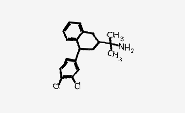 CC(C)(N)C1Cc2ccccc2C(c2ccc(Cl)c(Cl)c2)C1